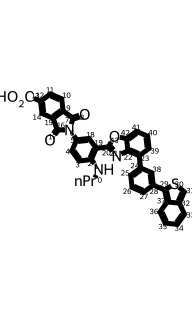 CCCNc1ccc(N2C(=O)c3ccc(C(=O)O)cc3C2=O)cc1-c1nc2c(-c3cccc(-c4scc5ccccc45)c3)cccc2o1